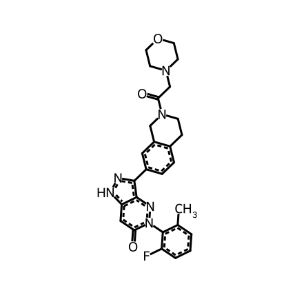 Cc1cccc(F)c1-n1nc2c(-c3ccc4c(c3)CN(C(=O)CN3CCOCC3)CC4)n[nH]c2cc1=O